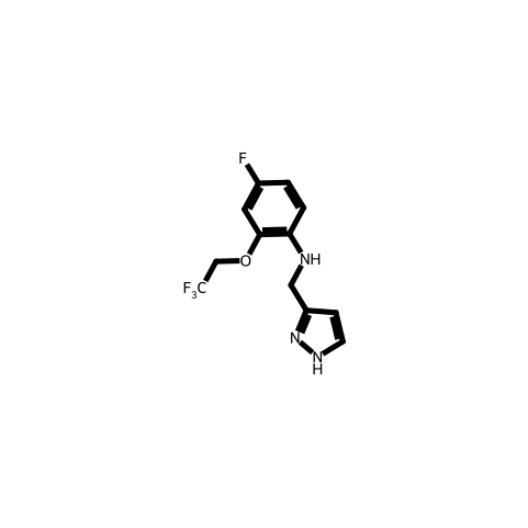 Fc1ccc(NCc2cc[nH]n2)c(OCC(F)(F)F)c1